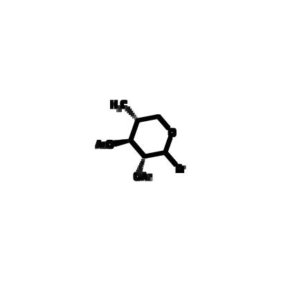 CC(=O)O[C@H]1[C@H](C)COC(Br)[C@@H]1OC(C)=O